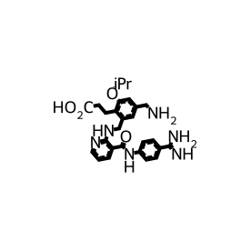 CC(C)Oc1cc(CN)cc(CNc2ncccc2C(=O)Nc2ccc(C(=N)N)cc2)c1CCC(=O)O